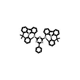 CC1(C)c2cccc3c2-n2c4c(cccc4c4cccc1c42)N3c1nc(-c2ccccc2)nc(N2c3cccc4c3-n3c5c2cccc5c2cccc(c23)C4(C)C)n1